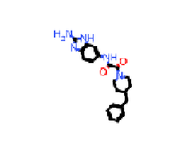 Nc1nc2ccc(NC(=O)C(=O)N3CCC(Cc4ccccc4)CC3)cc2[nH]1